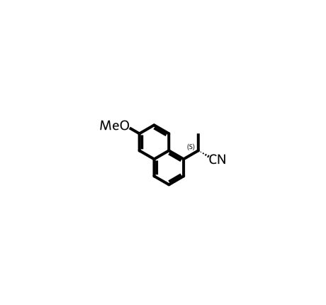 COc1ccc2c([C@H](C)C#N)cccc2c1